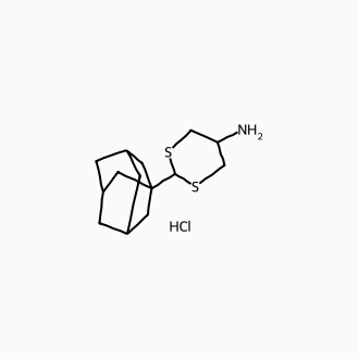 Cl.NC1CSC(C23CC4CC(CC(C4)C2)C3)SC1